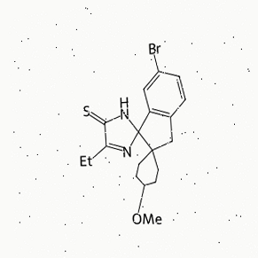 CCC1=NC2(NC1=S)c1cc(Br)ccc1CC21CCC(OC)CC1